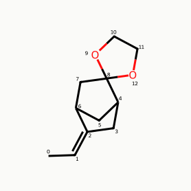 CC=C1CC2CC1CC21OCCO1